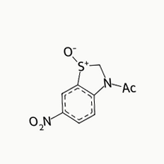 CC(=O)N1C[S+]([O-])c2cc([N+](=O)[O-])ccc21